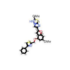 COc1cc(OCc2nc(-c3ccccc3)cs2)c2cc(-c3cn4c(n3)SC(OC)N4)oc2c1